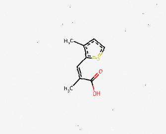 CC(=Cc1sccc1C)C(=O)O